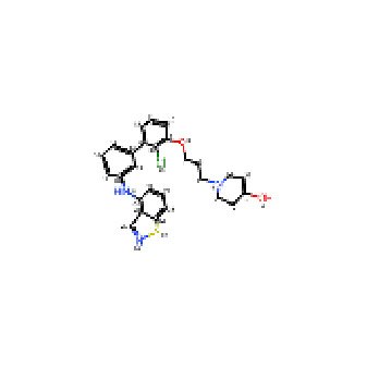 OC1CCN(CCCOc2cccc(-c3cccc(Nc4cccc5sncc45)c3)c2Cl)CC1